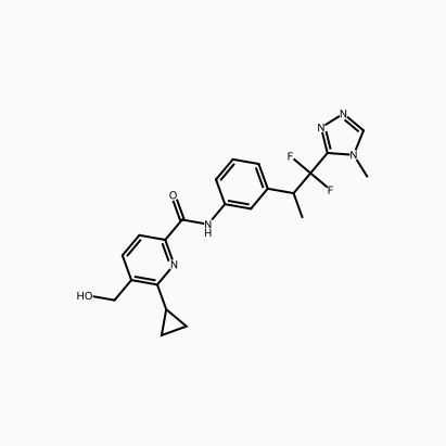 CC(c1cccc(NC(=O)c2ccc(CO)c(C3CC3)n2)c1)C(F)(F)c1nncn1C